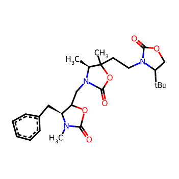 C[C@@H]1N(CC2OC(=O)N(C)[C@H]2Cc2ccccc2)C(=O)OC1(C)CCN1C(=O)OCC1C(C)(C)C